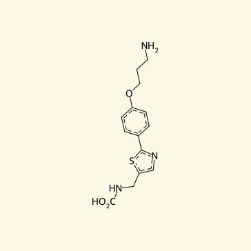 NCCCOc1ccc(-c2ncc(CNC(=O)O)s2)cc1